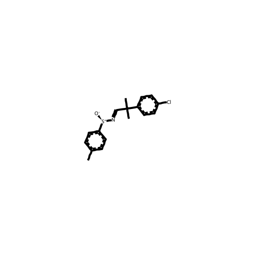 Cc1ccc([S@@+]([O-])N=CC(C)(C)c2ccc(Cl)cc2)cc1